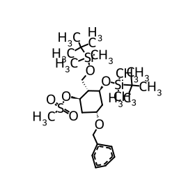 CC(C)(C)[Si](C)(C)OC[C@@H]1[C@@H](O[Si](C)(C)C(C)(C)C)C[C@H](OCc2ccccc2)C[C@H]1OS(C)(=O)=O